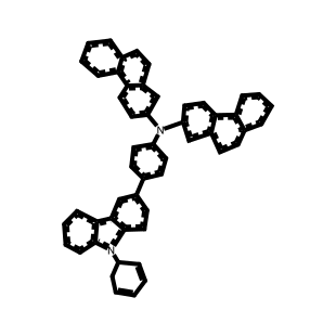 C1=CCC(n2c3ccccc3c3cc(-c4ccc(N(c5ccc6c(ccc7ccccc76)c5)c5ccc6c(ccc7ccccc76)c5)cc4)ccc32)C=C1